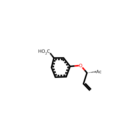 C=C[C@H](Oc1cccc(C(=O)O)c1)C(C)=O